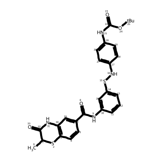 CC1Sc2ccc(C(=O)Nc3cccc(SNc4ccc(NC(=O)OC(C)(C)C)cc4)c3)cc2NC1=O